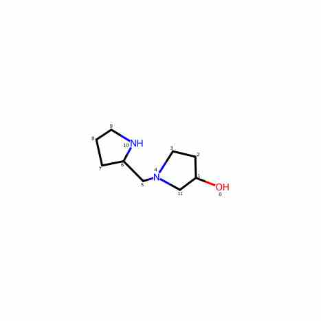 OC1CCN(CC2CCCN2)C1